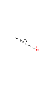 CCCCCCCCCCCCCCCCCC(=O)O.[TeH2]